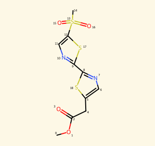 COC(=O)Cc1cnc(-c2ncc(S(C)(=O)=O)s2)s1